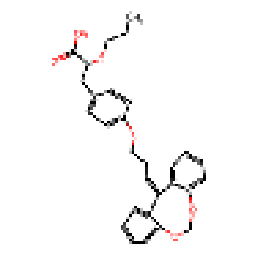 CCCOC(Cc1ccc(OCCC=C2c3ccccc3OCOc3ccccc32)cc1)C(=O)O